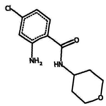 Nc1cc(Cl)ccc1C(=O)NC1CCOCC1